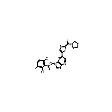 CC(On1cnc2ncc(-c3cnc(C(=O)N4CCCC4)o3)nc21)c1c(Cl)ccc(F)c1Cl